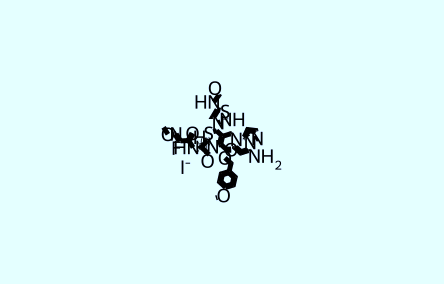 CON=C(F)C(=O)N[C@@H]1C(=O)N2C(C(=O)OCc3ccc(OC)cc3)=C(C[n+]3ccc(N)n4nccc43)C(N3C=C(NC=O)SN3)S[C@@H]12.[I-]